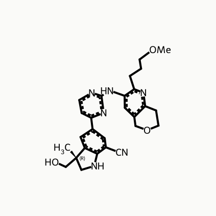 COCCCc1nc2c(cc1Nc1nccc(-c3cc(C#N)c4c(c3)[C@@](C)(CO)CN4)n1)COCC2